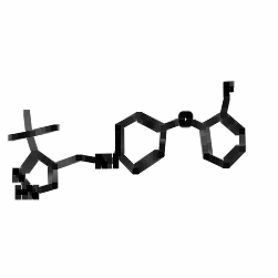 CC(C)(C)c1n[nH]cc1CNc1ccc(Oc2ccccc2F)cc1